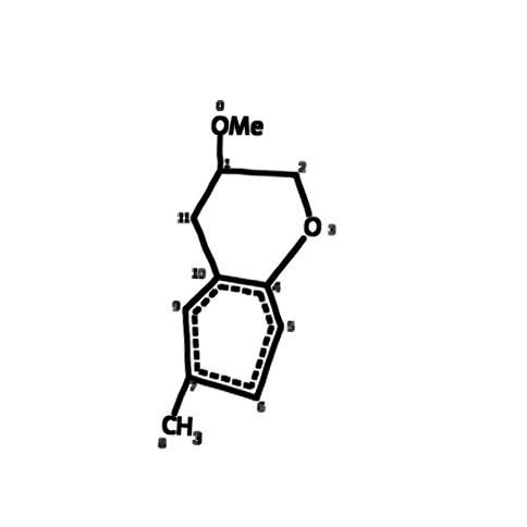 COC1COc2ccc(C)cc2C1